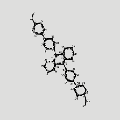 CCc1ccc(-c2ccc(-c3c4ccccc4c(-c4ccc(-c5ccc(CC)nc5)cc4)c4ccccc34)cc2)cn1